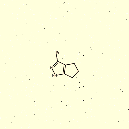 CC(C)c1n[nH]c2c1CCC2